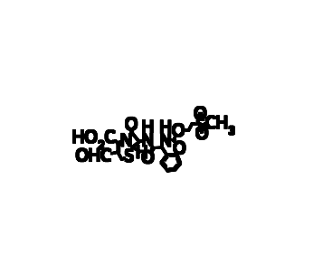 CS(=O)(=O)CCOC(=O)NC(C(=O)N[C@@H]1C(=O)N2C(C(=O)O)=C(C=O)CS[C@@H]12)c1ccccc1